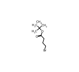 C.CC(C)(C)OC(=O)CCCBr